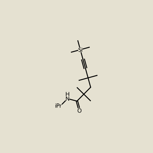 CC(C)NC(=O)C(C)(C)CC(C)(C)C#C[Si](C)(C)C